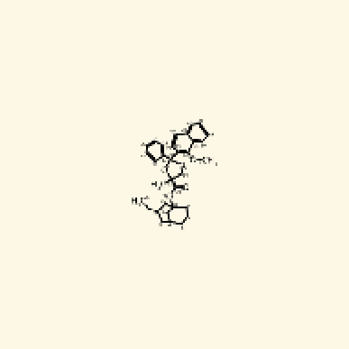 CCC1CC2CCCC(OC(=O)C3(C)COC(c4ccccc4)(c4ccc5ccccc5c4OC)O3)(C1)C2